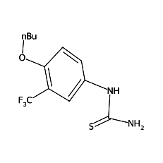 CCCCOc1ccc(NC(N)=S)cc1C(F)(F)F